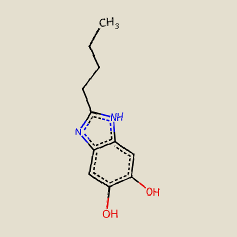 CCCCc1nc2cc(O)c(O)cc2[nH]1